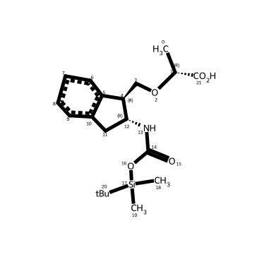 C[C@@H](OC[C@@H]1c2ccccc2C[C@H]1NC(=O)O[Si](C)(C)C(C)(C)C)C(=O)O